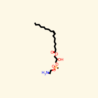 CCCCCCCC/C=C\CCCCCCC(=O)OCC(O)COP(C)(=O)OCCN